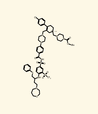 CC(C)(C)OC(=O)N1CCN(C[C@]2(C)CCC(c3ccc(Cl)cc3)=C(CN3CCN(c4ccc(C(=O)NS(=O)(=O)c5ccc(NC(CCN6CCCOCC6)CSc6ccccc6)c(S(=O)(=O)C(F)(F)F)c5)cc4)CC3)C2)CC1